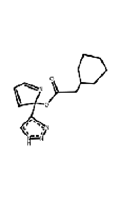 O=C(CC1CCCCC1)OC1(c2c[nH]nn2)C=CC=N1